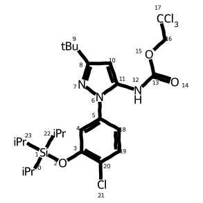 CC(C)[Si](Oc1cc(-n2nc(C(C)(C)C)cc2NC(=O)OCC(Cl)(Cl)Cl)ccc1Cl)(C(C)C)C(C)C